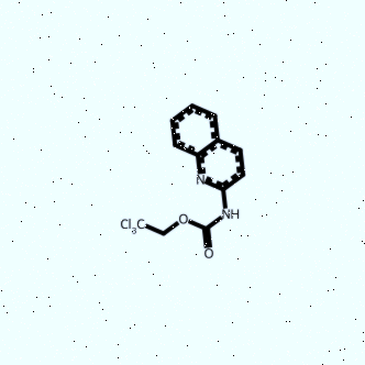 O=C(Nc1ccc2ccccc2n1)OCC(Cl)(Cl)Cl